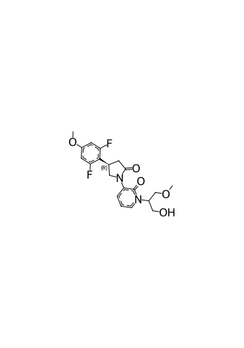 COCC(CO)n1cccc(N2C[C@@H](c3c(F)cc(OC)cc3F)CC2=O)c1=O